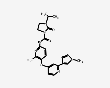 Cc1nc(NC(=O)N2CCN(C(C)C)C2=O)ccc1Oc1ccnc(-c2cnn(C)c2)c1